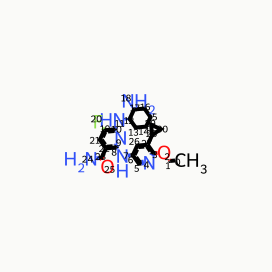 CCOc1ncc(Nc2nc(N[C@@H]3CCCC[C@@H]3N)c(F)cc2C(N)=O)cc1C1CC1